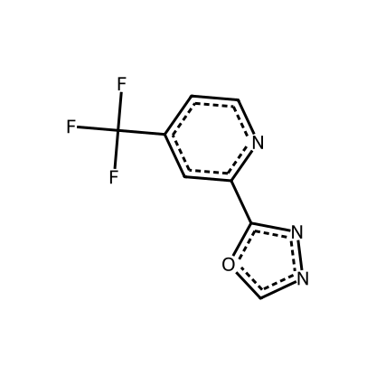 FC(F)(F)c1ccnc(-c2nnco2)c1